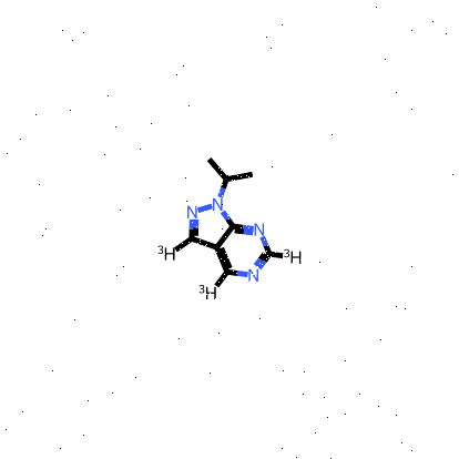 [3H]c1nc([3H])c2c([3H])nn(C(C)C)c2n1